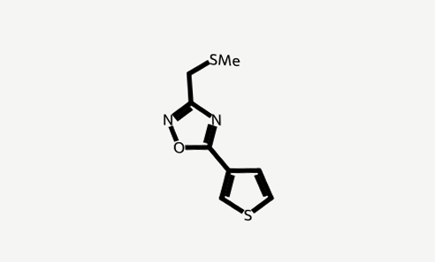 CSCc1noc(-c2ccsc2)n1